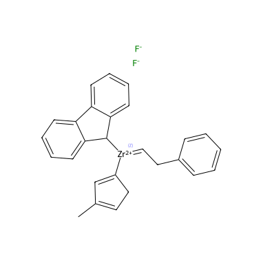 CC1=CC[C](/[Zr+2](=[CH]\Cc2ccccc2)[CH]2c3ccccc3-c3ccccc32)=C1.[F-].[F-]